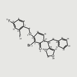 O=c1c(Br)c(OCc2ccc(F)cc2F)ccn1C(Cc1ccccc1)C1=COCO1